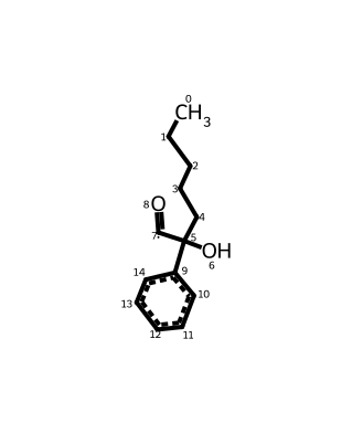 CCCCCC(O)([C]=O)c1ccccc1